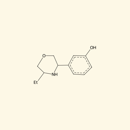 CCC1COCC(c2cccc(O)c2)N1